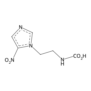 O=C(O)NCCn1cncc1[N+](=O)[O-]